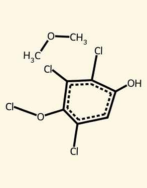 COC.Oc1cc(Cl)c(OCl)c(Cl)c1Cl